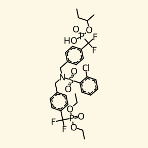 CCOP(=O)(OCC)C(F)(F)c1ccc(CN(Cc2ccc(C(F)(F)P(=O)(O)OC(C)CC)cc2)S(=O)(=O)c2ccccc2Cl)cc1